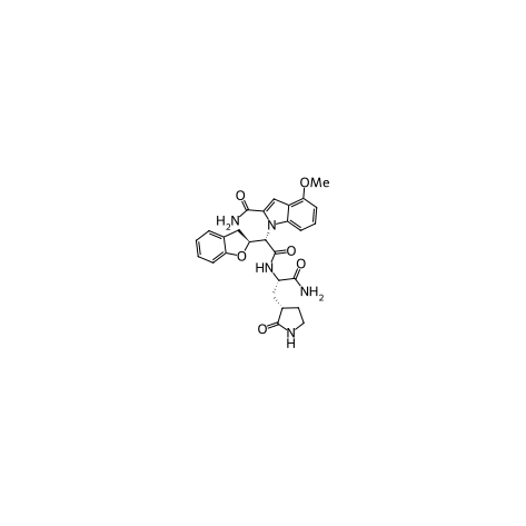 COc1cccc2c1cc(C(N)=O)n2[C@H](C(=O)N[C@@H](C[C@@H]1CCNC1=O)C(N)=O)[C@@H]1Cc2ccccc2O1